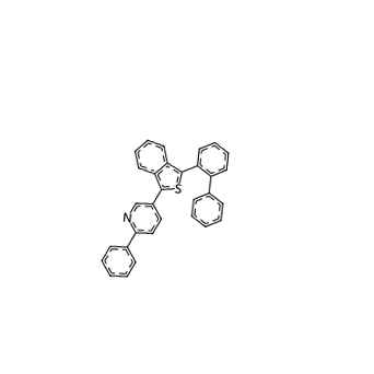 c1ccc(-c2ccc(-c3sc(-c4ccccc4-c4ccccc4)c4ccccc34)cn2)cc1